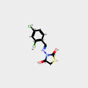 O=C1CSC(=O)N1/N=C/c1ccc(Cl)cc1Cl